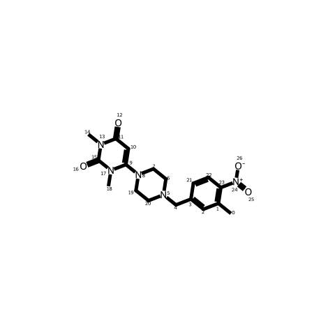 Cc1cc(CN2CCN(c3cc(=O)n(C)c(=O)n3C)CC2)ccc1[N+](=O)[O-]